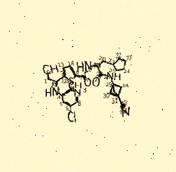 CC[C@H](Nc1cc(Cl)cnc1C)c1ccc(C(=O)N[C@@H](CC2CCCC2)C(=O)NC23CC(C#N)(C2)C3)s1